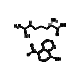 N=C(N)NCCC[C@H](N)C(=O)O.O=[N+]([O-])c1ccc(O)c2ncccc12